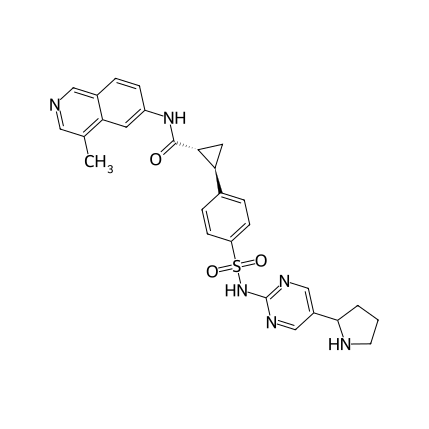 Cc1cncc2ccc(NC(=O)[C@@H]3C[C@H]3c3ccc(S(=O)(=O)Nc4ncc(C5CCCN5)cn4)cc3)cc12